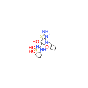 Nc1nc2c(s1)c(O)c(C1=NS(O)(O)c3ccccc3N1)c(=O)n2Cc1ccccc1